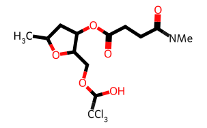 CNC(=O)CCC(=O)OC1CC(C)OC1COC(O)C(Cl)(Cl)Cl